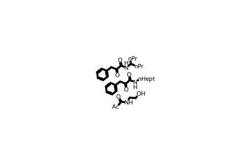 CC(=O)C(=O)NCCO.CCCC(CCC)NC(=O)C(=O)Cc1ccccc1.CCCCCCCNC(=O)C(=O)Cc1ccccc1